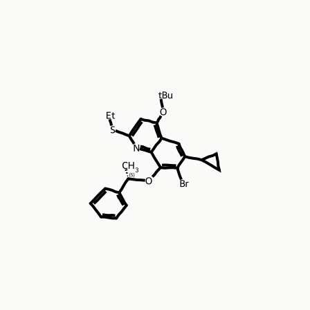 CCSc1cc(OC(C)(C)C)c2cc(C3CC3)c(Br)c(O[C@@H](C)c3ccccc3)c2n1